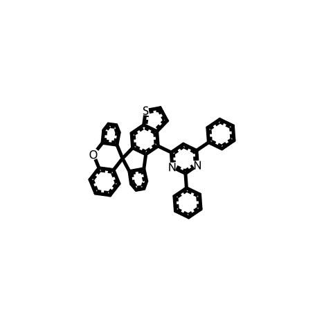 c1ccc(-c2cc(-c3c4c(cc5sccc35)C3(c5ccccc5Oc5ccccc53)c3ccccc3-4)nc(-c3ccccc3)n2)cc1